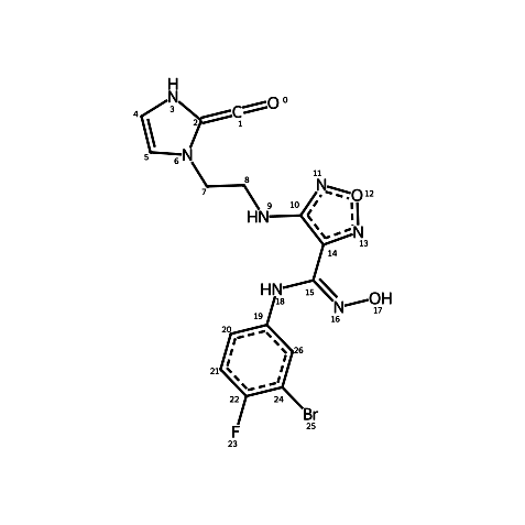 O=C=C1NC=CN1CCNc1nonc1C(=NO)Nc1ccc(F)c(Br)c1